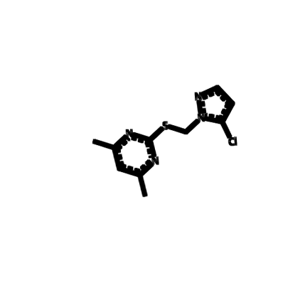 Cc1cc(C)nc(SCn2nccc2Cl)n1